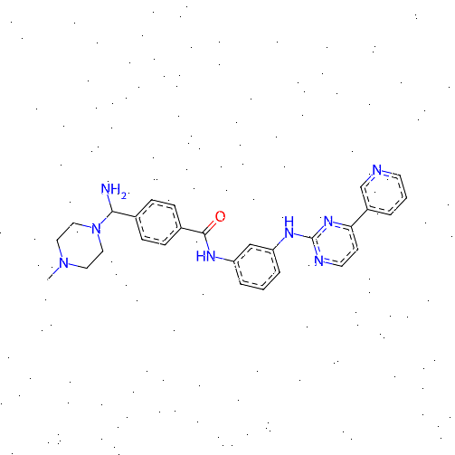 CN1CCN(C(N)c2ccc(C(=O)Nc3cccc(Nc4nccc(-c5cccnc5)n4)c3)cc2)CC1